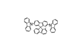 Cc1ccccc1C1(c2ccccc2C)c2cc(-n3c4ccccc4c4ccccc43)ccc2-c2ccc(-n3c4ccccc4c4ccccc43)cc21